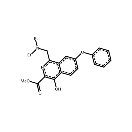 CCN(CC)Cc1nc(C(=O)OC)c(O)c2ccc(Oc3ccccc3)cc12